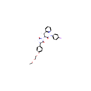 CCOCCOc1ccc(C2NC(=O)N(C(C(=O)Nc3ccc(I)cc3)[C@@H](C)c3ccccc3)C2=O)cc1